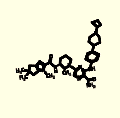 C[C@@H]1[C@H](NC(=O)c2cc3c(n2C)CC(C)(C)C3)CCCN1c1cnc(C(N)=O)c(Nc2ccc(C3CCN(C4CCC4)CC3)cc2)n1